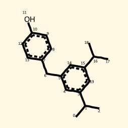 CC(C)c1cc(Cc2ccc(O)cc2)cc(C(C)C)c1